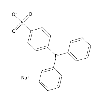 O=S(=O)([O-])c1ccc(P(c2ccccc2)c2ccccc2)cc1.[Na+]